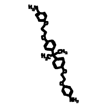 CC(C)(c1ccc(OCCOc2ccc(N)cc2)cc1)c1ccc(OCCOc2ccc(N)cc2)cc1